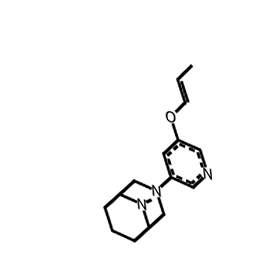 CC=COc1cncc(N2CC3CCCC(C2)N3C)c1